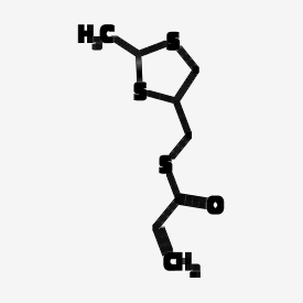 C=CC(=O)SCC1CSC(C)S1